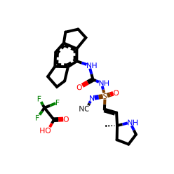 C[C@@]1(/C=C/S(=O)(=NC#N)NC(=O)Nc2c3c(cc4c2CCC4)CCC3)CCCN1.O=C(O)C(F)(F)F